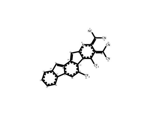 N#CC(C#N)=c1nc2c(c(C(F)(F)F)c1=C(C#N)C#N)-c1c(C(F)(F)F)cc3c(c1=C2)=Cc1ccccc1-3